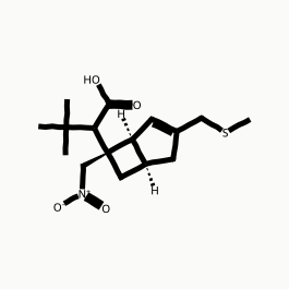 CSCC1=C[C@H]2[C@@H](C1)C[C@]2(C[N+](=O)[O-])C(C(=O)O)C(C)(C)C